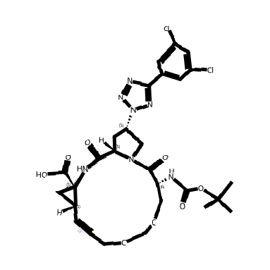 CC(C)(C)OC(=O)N[C@@H]1CCCCC/C=C\[C@@H]2C[C@]2(C(=O)O)NC(=O)[C@@H]2C[C@H](n3nnc(-c4cc(Cl)cc(Cl)c4)n3)CN2C1=O